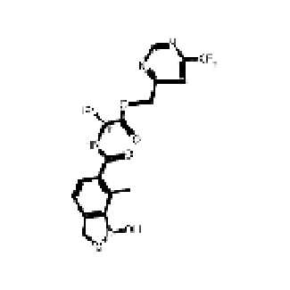 Cc1c(C(=O)N[C@H](C(=O)OCc2cc(C(F)(F)F)ncn2)C(C)C)ccc2c1B(O)OC2